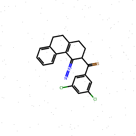 [N-]=[N+]=C1C2=C(CCc3ccccc32)CCC1C(=S)c1cc(Cl)cc(Cl)c1